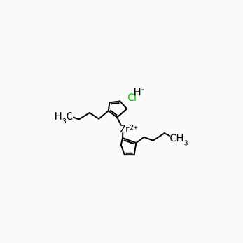 CCCCC1=[C]([Zr+2][C]2=C(CCCC)C=CC2)CC=C1.[Cl-].[H-]